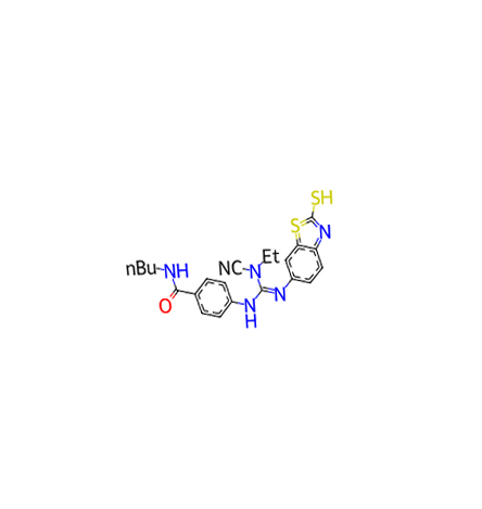 CCCCNC(=O)c1ccc(NC(=Nc2ccc3nc(S)sc3c2)N(C#N)CC)cc1